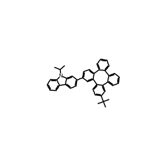 CC(C)n1c2ccccc2c2ccc(-c3ccc4c(c3)-c3ccc(C(C)(C)C)cc3-c3ccccc3-c3ccccc3-4)cc21